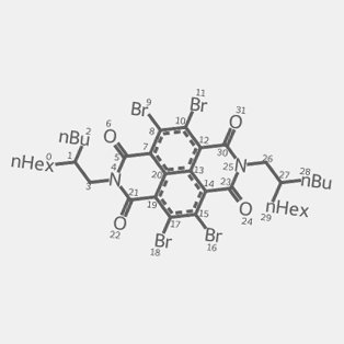 CCCCCCC(CCCC)CN1C(=O)c2c(Br)c(Br)c3c4c(c(Br)c(Br)c(c24)C1=O)C(=O)N(CC(CCCC)CCCCCC)C3=O